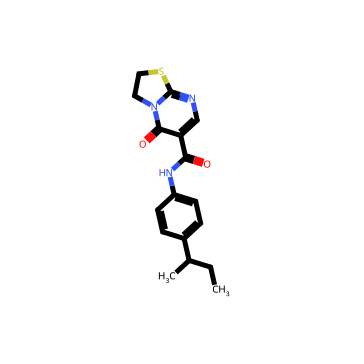 CCC(C)c1ccc(NC(=O)c2cnc3n(c2=O)CCS3)cc1